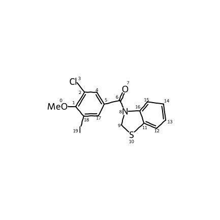 COc1c(Cl)cc(C(=O)N2CSc3ccccc32)cc1I